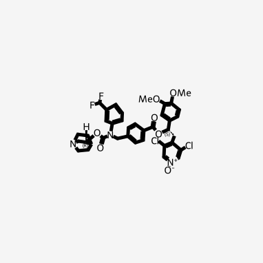 COc1ccc([C@H](Cc2c(Cl)c[n+]([O-])cc2Cl)OC(=O)c2ccc(CN(C(=O)O[C@H]3CN4CCC3CC4)c3cccc(C(F)F)c3)cc2)cc1OC